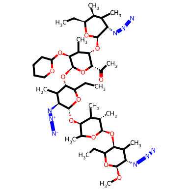 CCC1O[C@H](O[C@@H]2C(C)O[C@H](O[C@@H]3C(CC)O[C@H](OC)[C@@H](N=[N+]=[N-])C3C)[C@@H](C)C2C)[C@@H](N=[N+]=[N-])C(C)[C@@H]1O[C@@H]1O[C@@H](C(C)=O)[C@@H](O[C@H]2O[C@@H](CC)[C@@H](C)C(C)[C@@H]2N=[N+]=[N-])C(C)[C@@H]1OC1CCCCO1